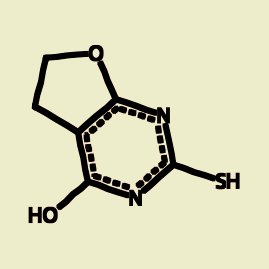 Oc1nc(S)nc2c1CCO2